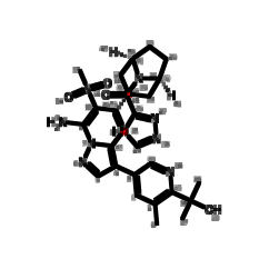 Cc1cc(-c2cnn3c(N)c(S(C)(=O)=O)c([C@@H]4C[C@H]5CC[C@@H](C4)N5C(=O)c4nnc[nH]4)nc23)cnc1C(C)(C)O